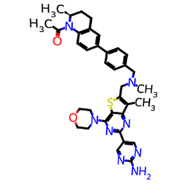 CC(=O)N1c2ccc(-c3ccc(CN(C)Cc4sc5c(N6CCOCC6)nc(-c6cnc(N)nc6)nc5c4C)cc3)cc2CC[C@@H]1C